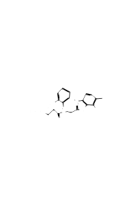 CCOC(=O)CCC(=O)N(Cc1nc2ccc(F)c(F)c2s1)c1ccccc1C